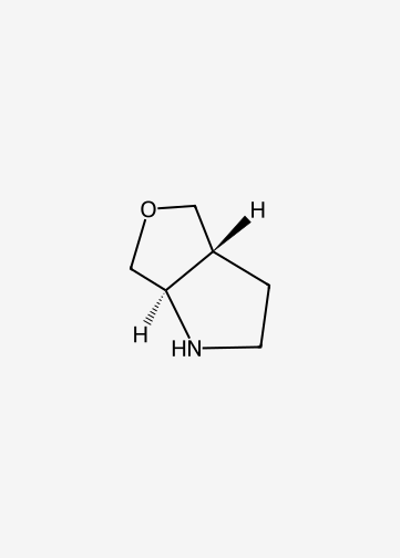 C1C[C@H]2COC[C@@H]2N1